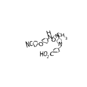 CN(CC(=O)Nc1ccc(Oc2ccc(C#N)cc2)cc1)C1CCN(Cc2ccc(C(=O)O)cc2)CC1